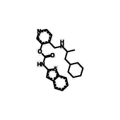 CC(CC1CCCCC1)NCc1ccncc1OC(=O)Nc1cc2ccccc2s1